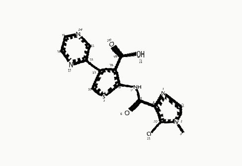 Cn1cnc(C(=O)Nc2scc(-c3cnccn3)c2C(=O)O)c1Cl